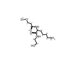 CCOCCC(=O)NC(CCCCN)C(=O)NCCO